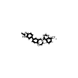 Cc1nc2ccc(-c3ccc4c(c3)CN(c3ncnc5c(C(F)(F)F)cccc35)CCO4)cc2[nH]1